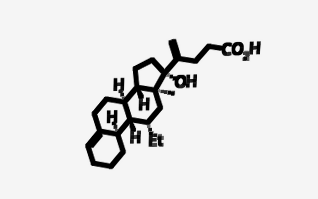 C=C(CCC(=O)O)[C@]1(O)CC[C@H]2[C@@H]3CCC4=CCCC[C@@H]4[C@H]3[C@@H](CC)C[C@@]21C